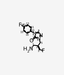 NC/C(=C/F)Cn1ncn(-c2ccc(F)cc2)c1=O